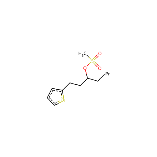 CC(C)CC(CCc1cccs1)OS(C)(=O)=O